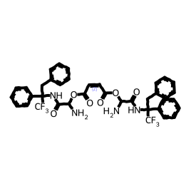 NC(OC(=O)/C=C\C(=O)OC(N)C(=O)NC(Cc1ccccc1)(c1ccccc1)C(F)(F)F)C(=O)NC(Cc1ccccc1)(c1ccccc1)C(F)(F)F